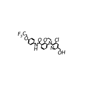 O=C(Nc1ccc(OCC(F)(F)F)cc1)c1cccc2c1OCCN2c1ncc(CO)cc1Cl